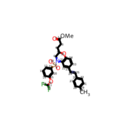 COC(=O)CCC1CN(S(=O)(=O)c2cccc(OC(F)F)c2)c2cc(/C=C/c3ccc(C)cc3)ccc2O1